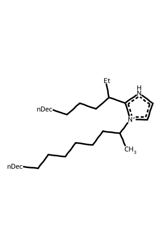 CCCCCCCCCCCCCCCCC(C)[n+]1cc[nH]c1C(CC)CCCCCCCCCCCCC